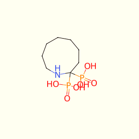 O=P(O)(O)C1(P(=O)(O)O)CCCCCCCN1